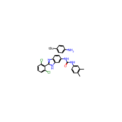 CC(C)(C)c1ccc(N)cc1.Cc1ccc(NC(=O)Nc2ccc3nc(-c4c(Cl)cccc4Cl)[nH]c3c2)cc1C